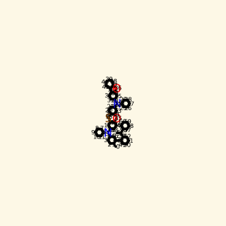 Cc1ccc(N(c2ccccc2)c2ccc3c(c2)Sc2ccc(N(c4ccccc4)c4ccc5c(c4)oc4ccccc45)cc2O3)cc1-c1ccccc1C(C)c1ccccc1